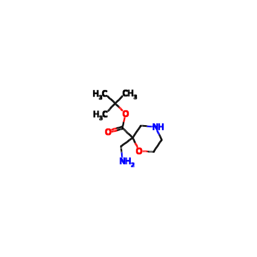 CC(C)(C)OC(=O)C1(CN)CNCCO1